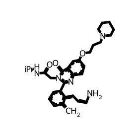 C=c1cccc(-c2nc3ccc(OCCCN4CCCCC4)cc3c(=O)n2CC(=O)NC(C)C)/c1=C/C=C\N